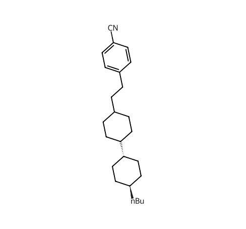 CCCC[C@H]1CC[C@H](C2CCC(CCc3ccc(C#N)cc3)CC2)CC1